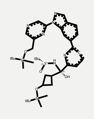 CC(C)(C)[S@@+]([O-])N[C@@](O)(c1cccc(-c2ccc3cnn(-c4cncc(CO[Si](C)(C)C(C)(C)C)n4)c3c2)n1)C1CC(O[Si](C)(C)C(C)(C)C)C1